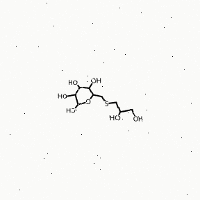 OCC(O)CSCC1OC(O)C(O)C(O)C1O